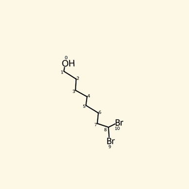 OCCCCCCCC(Br)Br